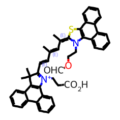 CC(/C=C/C1=[N+](CCC(=O)O)c2c(c3ccccc3c3ccccc23)C1(C)C)=C\C(C)=C1\Sc2c(c3ccccc3c3ccccc23)N1CCOC=O